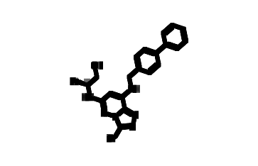 CC[C@@H](CO)Nc1cc(NCc2ccc(-c3ccccc3)cc2)c2nnc(C(C)C)n2n1